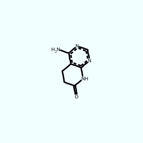 Nc1ncnc2c1CCC(=O)N2